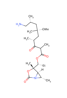 CC[C@@H](OC(=O)C(C)C(=O)[C@H](C)C[C@@](C)(C[C@@H](C)CN)OC)[C@@]1(C)OC(=O)N2[C@@H](C)[C@@H]21